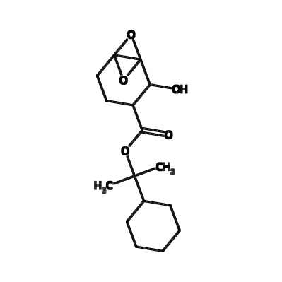 CC(C)(OC(=O)C1CCC23OC2(O3)C1O)C1CCCCC1